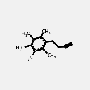 [C]#CCCc1c(C)c(C)c(C)c(C)c1C